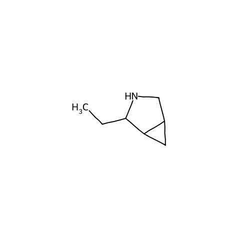 CCC1NCC2CC21